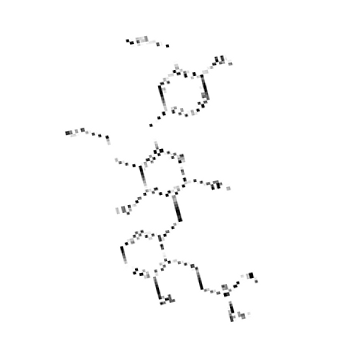 CNCCc1c(Cc2ccc(C(F)(F)F)c(CNC)c2)cc(C)c(Cc2cccc(C)c2OC[C@@H](C)NC)c1C